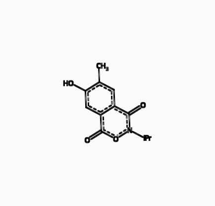 Cc1cc2c(=O)n(C(C)C)oc(=O)c2cc1O